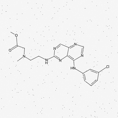 COC(=O)CN(C)CCNc1ncc2ncnc(Nc3cccc(Cl)c3)c2n1